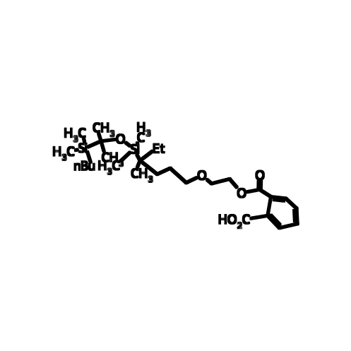 CCCC[Si](C)(C)C(C)(C)O[Si](C)(C)C(C)(CC)CCCOCCOC(=O)c1ccccc1C(=O)O